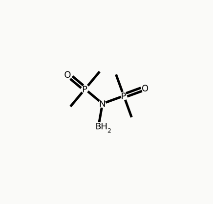 BN(P(C)(C)=O)P(C)(C)=O